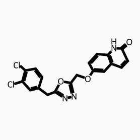 O=c1ccc2cc(OCc3nnc(Cc4ccc(Cl)c(Cl)c4)o3)ccc2[nH]1